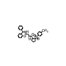 Cc1ccc(S(=O)(=O)N2CCC[C@H]2C(=O)NCC(=O)NC(c2ccccc2)c2ccccc2)cc1